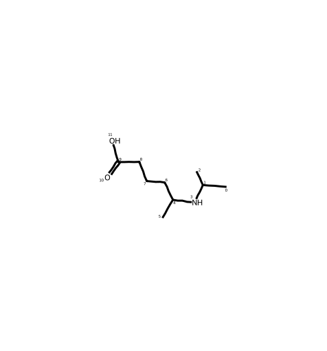 CC(C)NC(C)CCCC(=O)O